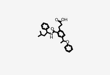 CC(C)CC(NC(=O)c1cc(C(C)Oc2ccccc2)ccc1CCC(=O)O)c1ccccc1